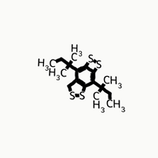 CCC(C)(C)c1c2c(c(C(C)(C)CC)c3ssc13)SSC2